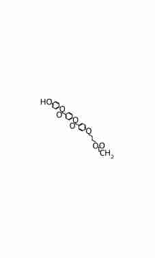 C=CC(=O)OCCCCOc1ccc(C(=O)Oc2ccc(C(=O)Oc3ccc(O)cc3)cc2)cc1